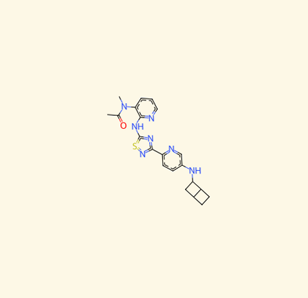 CC(=O)N(C)c1cccnc1Nc1nc(-c2ccc(NC3CC4CCC43)cn2)ns1